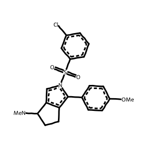 CNC1CCc2c1cn(S(=O)(=O)c1cccc(Cl)c1)c2-c1ccc(OC)cc1